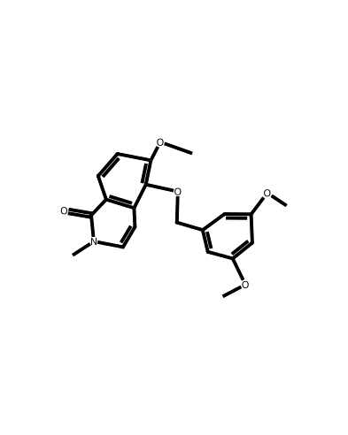 COc1cc(COc2c(OC)ccc3c(=O)n(C)ccc23)cc(OC)c1